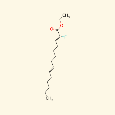 CCCCC/C=C/CCCC/C=C(\F)C(=O)OCC